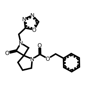 O=C(OCc1ccccc1)N1CCCC12CN(Cc1nnco1)C2=O